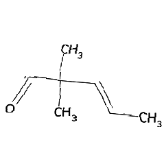 CC=CC(C)(C)[C]=O